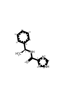 C[C@H](NC(=O)c1nc[nH]n1)c1ccccc1